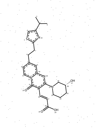 CC(C)c1csc(CCc2ccn3c(=O)c(/C=C/C(=O)O)c(N4CCC[C@@H](O)C4)nc3c2)n1